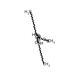 CCCCCCCCCCCCCCCCCCNC(=O)OC(COC(=O)NCCCCCCCCCCCCCCCC)C(=O)OCCOCCOC